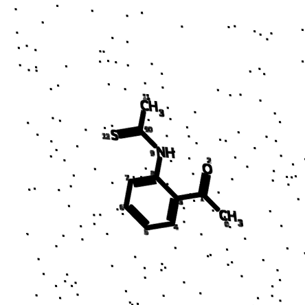 CC(=O)c1ccccc1NC(C)=S